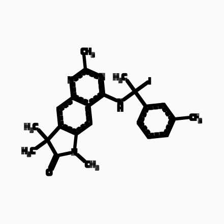 Cc1nc(NC(C)(I)c2cccc(C(F)(F)F)c2)c2cc3c(cc2n1)C(C)(C)C(=O)N3C